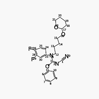 N#CN=C(Oc1ccccc1)N(CCCCOC1CCCCO1)c1ccc(F)c(F)c1